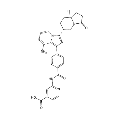 Nc1nccn2c([C@@H]3CC[C@H]4CCC(=O)N4C3)nc(-c3ccc(C(=O)Nc4cc(C(=O)O)ccn4)cc3)c12